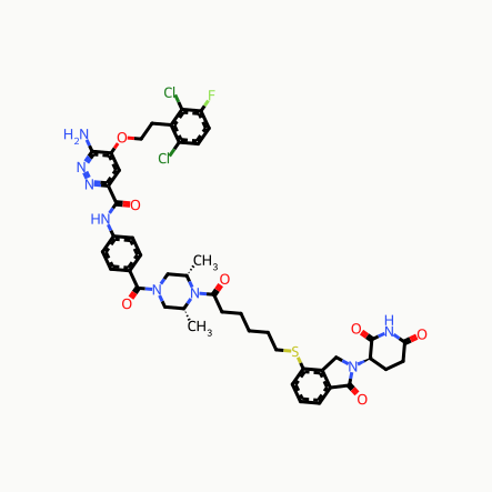 C[C@@H]1CN(C(=O)c2ccc(NC(=O)c3cc(OCCc4c(Cl)ccc(F)c4Cl)c(N)nn3)cc2)C[C@H](C)N1C(=O)CCCCCSc1cccc2c1CN([C@@H]1CCC(=O)NC1=O)C2=O